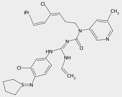 C=CN/C(=N\C(=O)N(CC/C=C(Cl)\C=C/C(C)C)c1cncc(C)c1)Nc1ccc(N=S2CCCC2)c(Cl)c1